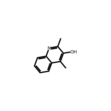 Cc1nc2ccccc2c(C)c1O